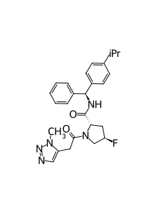 CC(C)c1ccc([C@@H](NC(=O)[C@@H]2C[C@@H](F)CN2C(=O)Cc2cnnn2C)c2ccccc2)cc1